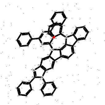 c1ccc(-c2nc(-c3ccccc3)nc(-n3c4cc5nc(-c6ccccc6)n(-c6ccccc6)c5cc4c4ccc5c6ccccc6n(-c6ccccc6)c5c43)n2)cc1